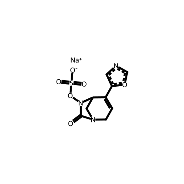 O=C1N2CC=C(c3cnco3)C(C2)N1OS(=O)(=O)[O-].[Na+]